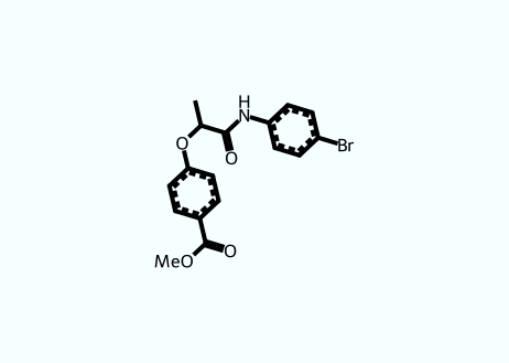 COC(=O)c1ccc(OC(C)C(=O)Nc2ccc(Br)cc2)cc1